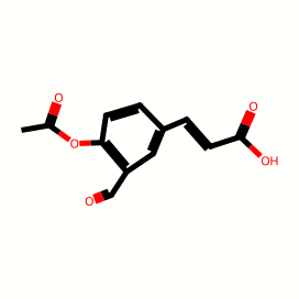 CC(=O)Oc1ccc(C=CC(=O)O)cc1C=O